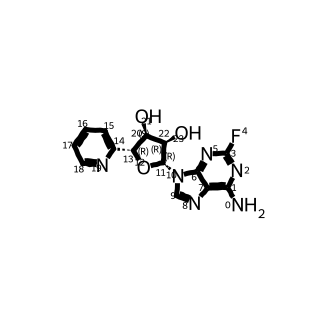 Nc1nc(F)nc2c1ncn2[C@@H]1O[C@H](c2ccccn2)[C@@H](O)[C@H]1O